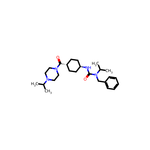 CC(C)N1CCN(C(=O)[C@H]2CC[C@H](NC(=O)N(Cc3ccccc3)C(C)C)CC2)CC1